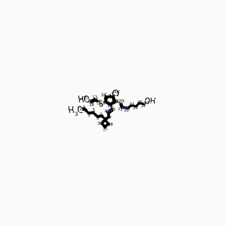 CCCCCCC1(C/C=C/[C@H]2[C@H](SCCO)CC(=O)[C@@H]2C/C=C\CCCCO)CCC1